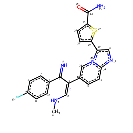 CN/C=C(\C(=N)c1ccc(F)cc1)c1ccc2ncc(-c3ccc(C(N)=O)s3)n2c1